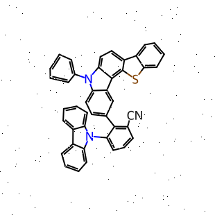 N#Cc1cccc(-n2c3ccccc3c3ccccc32)c1-c1ccc2c(c1)c1c3sc4ccccc4c3ccc1n2-c1ccccc1